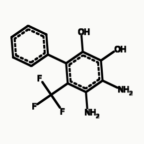 Nc1c(N)c(C(F)(F)F)c(-c2ccccc2)c(O)c1O